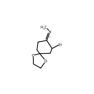 CCC1CC2(CC/C1=N\C)OCCO2